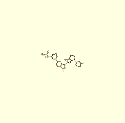 CCCCC(=O)Nc1cncc(-c2ccc3[nH]nc(-c4cc5c(-c6cccc(F)c6)cccc5[nH]4)c3c2)c1